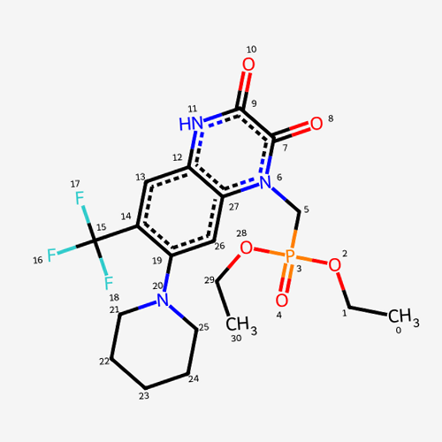 CCOP(=O)(Cn1c(=O)c(=O)[nH]c2cc(C(F)(F)F)c(N3CCCCC3)cc21)OCC